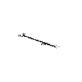 CCCCCCCCCCCC(O)CCCCCCCCCCCCCCCCC(=O)O